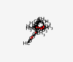 C#CCOCCOCCOCCOCCN(C)C(=O)CCCC(=O)N(C)[C@@H](C)C(=O)O[C@H]1CC(=O)N(C)c2cc(cc(OC)c2Cl)C/C(C)=C\C=C\[C@@H](OC)[C@@]2(O)C[C@H](OC(=O)N2)[C@@H](C)[C@@H]2O[C@@]12C